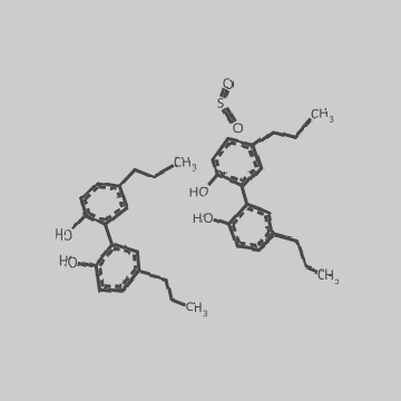 CCCc1ccc(O)c(-c2cc(CCC)ccc2O)c1.CCCc1ccc(O)c(-c2cc(CCC)ccc2O)c1.O=S=O